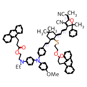 [C-]#[N+]C1=C(/C=C/C=C2\CC(C)(C)CC(/C=C/c3ccc(N(c4ccc(OC)cc4)c4ccc(N(CC)CCOC(=O)CCc5c6ccccc6cc6ccccc56)cc4)cc3)=C2SCCOC(=O)CCc2c3ccccc3cc3ccccc23)C(C)(c2ccccc2)O/C1=C(\C)C#N